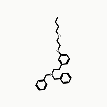 CCCCOCCOc1cccc(CCN(Cc2ccccc2)Cc2ccccc2)c1